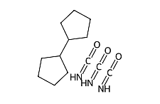 C1CCC(C2CCCC2)C1.N=C=O.N=C=O.N=C=O